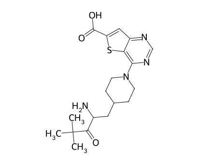 CC(C)(C)C(=O)C(N)CC1CCN(c2ncnc3cc(C(=O)O)sc23)CC1